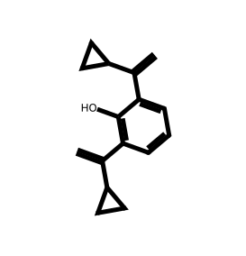 C=C(c1cccc(C(=C)C2CC2)c1O)C1CC1